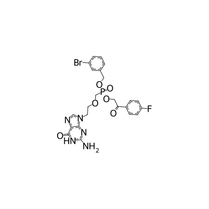 Nc1nc2c(ncn2CCOCP(=O)(OCC(=O)c2ccc(F)cc2)OCc2cccc(Br)c2)c(=O)[nH]1